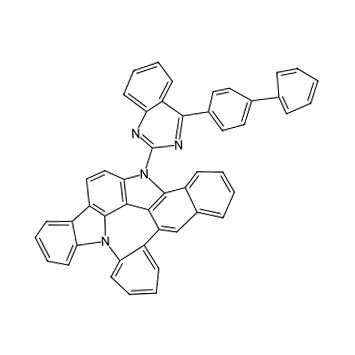 c1ccc(-c2ccc(-c3nc(-n4c5ccc6c7ccccc7n7c8ccccc8c8cc9ccccc9c4c8c5c67)nc4ccccc34)cc2)cc1